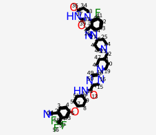 N#Cc1ccc(O[C@H]2CC[C@H](NC(=O)c3cnc(N4CCC(CN5CCC(n6ncc7c(N8CCC(=O)NC8=O)c(F)ccc76)CC5)CC4)cn3)CC2)cc1C(F)(F)F